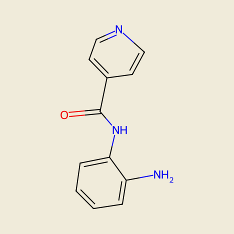 Nc1ccccc1NC(=O)c1ccncc1